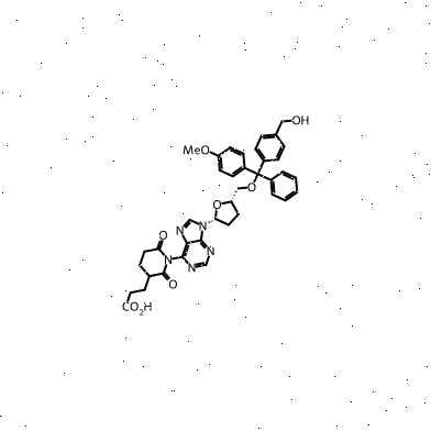 COc1ccc(C(OC[C@@H]2CC[C@H](n3cnc4c(N5C(=O)CCC(CCC(=O)O)C5=O)ncnc43)O2)(c2ccccc2)c2ccc(CO)cc2)cc1